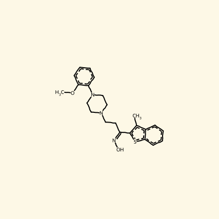 COc1ccccc1N1CCN(CC/C(=N/O)c2sc3ccccc3c2C)CC1